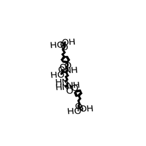 N=C(NCCCC(NC(=O)Oc1ccc(CCCON(O)O)cc1)C(=O)O)NC(=O)Oc1ccc(CCCON(O)O)cc1